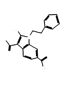 CCCc1c(C(=O)C(C)C)c2ccc(C(N)=O)cc2n1CCc1ccccc1